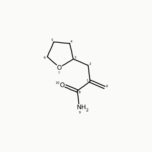 C=C(CC1CCCO1)C(N)=O